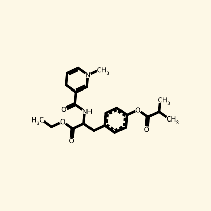 CCOC(=O)C(Cc1ccc(OC(=O)C(C)C)cc1)NC(=O)C1=CN(C)C=CC1